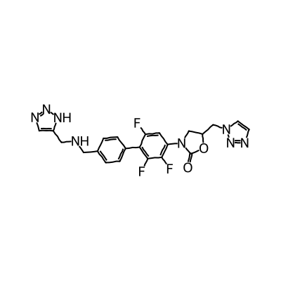 O=C1OC(Cn2ccnn2)CN1c1cc(F)c(-c2ccc(CNCc3cnn[nH]3)cc2)c(F)c1F